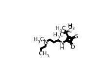 CCCN(C)CCCNc1c(C(C)(C)C)c(=S)c1=O